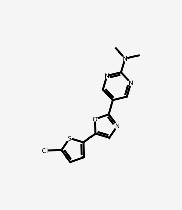 CN(C)c1ncc(-c2n[c]c(-c3ccc(Cl)s3)o2)cn1